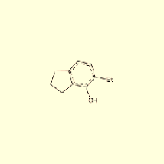 CCc1ccc2c(c1O)CCC2